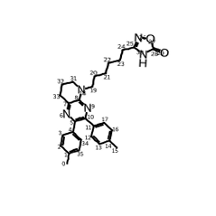 Cc1ccc(-c2nc3c(nc2-c2ccc(C)cc2)N(CCCCCCc2noc(=O)[nH]2)CCC3)cc1